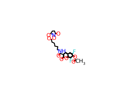 CC(=O)Oc1c(F)cc2cc(C(=O)NCCCCCC(=O)ON3C(=O)CCC3=O)c(=O)oc2c1F